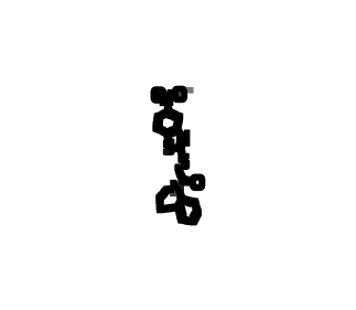 O=C(CSc1nc2cc([N+](=O)[O-])ccc2s1)N1CCCc2ccccc21